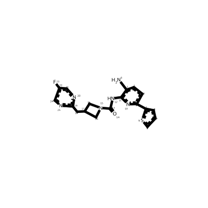 Nc1ccc(-c2cccs2)nc1NC(=O)N1CC(Cc2ncc(F)cn2)C1